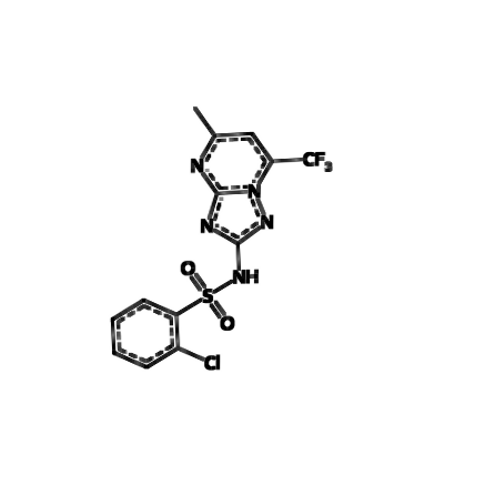 Cc1cc(C(F)(F)F)n2nc(NS(=O)(=O)c3ccccc3Cl)nc2n1